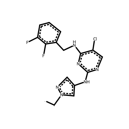 [CH2][CH]n1cc(Nc2ncc(Cl)c(NCc3cccc(F)c3F)n2)cn1